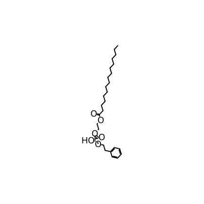 CCCCCCCCCCCCCCCC(=O)OCCOP(=O)(O)OCCc1ccccc1